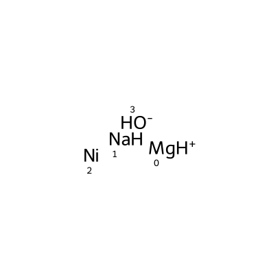 [MgH+].[NaH].[Ni].[OH-]